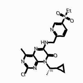 CCS(=O)(=O)c1ccc(CNc2nc3c(C)nc(Cl)nc3n([C@@H](C)C3CC3)c2=O)nc1